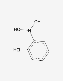 Cl.ON(O)c1ccccc1